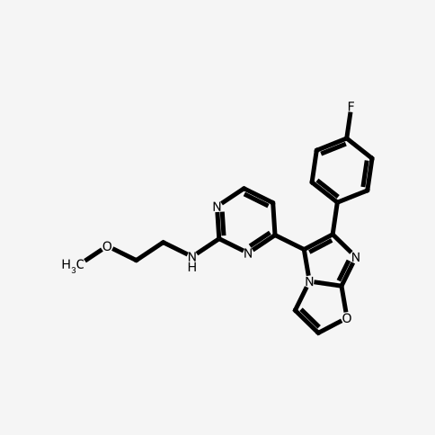 COCCNc1nccc(-c2c(-c3ccc(F)cc3)nc3occn23)n1